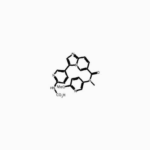 COc1ccc(N(C)C(=O)c2ccc3ncc(-c4ccc(NC(=O)O)nc4)n3c2)cn1